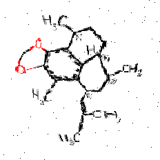 CC(C)=C[C@@H]1C[C@H](C)[C@H]2CC[C@H](C)c3c4c(c(C)c1c32)OCO4